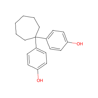 Oc1ccc(C2(c3ccc(O)cc3)CCCCCC2)cc1